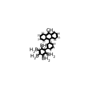 Bc1c(B)c(B)c(-c2cccc(-c3c4ccccc4c(C)c4ccccc34)c2)c(B)c1B